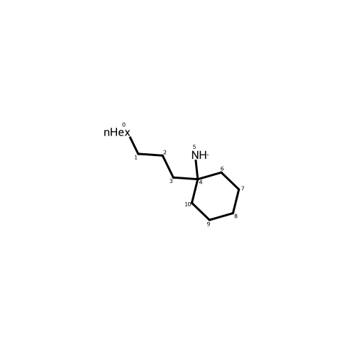 CCCCCCCCCC1([NH])CCCCC1